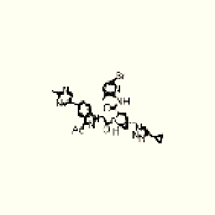 CC(=O)c1nn(CC(=O)N2[C@H](C(=O)Nc3nc(Br)ccc3C)C[C@@]3(Cn4cc(C5CC5)nn4)C[C@@H]23)c2ccc(-c3cnc(C)nc3)cc12